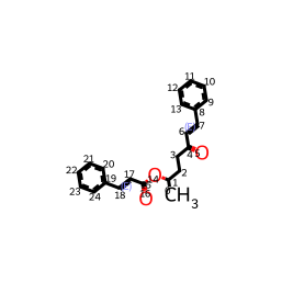 CC(CCC(=O)/C=C/c1ccccc1)OC(=O)/C=C/c1ccccc1